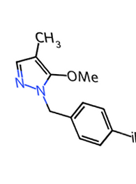 COc1c(C)cnn1Cc1ccc(C(C)C)cc1